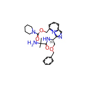 CC(C)(N)C(=O)N[C@H](COCc1ccccc1)c1ncc2cccc(COC(=O)N3CCCCC3)n12